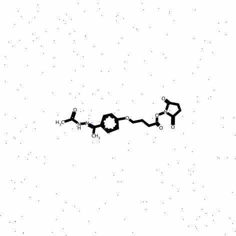 CC(=O)N/N=C(\C)c1ccc(OCCCC(=O)ON2C(=O)CCC2=O)cc1